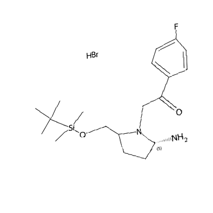 Br.CC(C)(C)[Si](C)(C)OCC1CC[C@@H](N)N1CC(=O)c1ccc(F)cc1